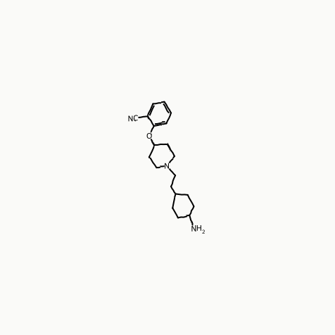 N#Cc1ccccc1OC1CCN(CCC2CCC(N)CC2)CC1